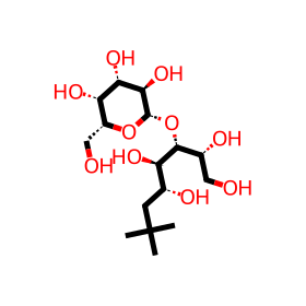 CC(C)(C)C[C@@H](O)[C@@H](O)[C@H](O[C@@H]1O[C@H](CO)[C@H](O)[C@H](O)[C@H]1O)[C@H](O)CO